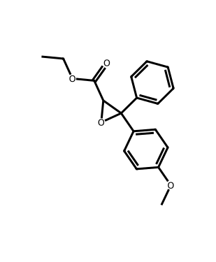 CCOC(=O)C1OC1(c1ccccc1)c1ccc(OC)cc1